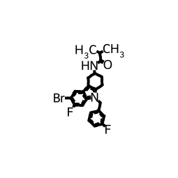 CC(C)C(=O)NC1CCc2c(c3cc(Br)c(F)cc3n2Cc2cccc(F)c2)C1